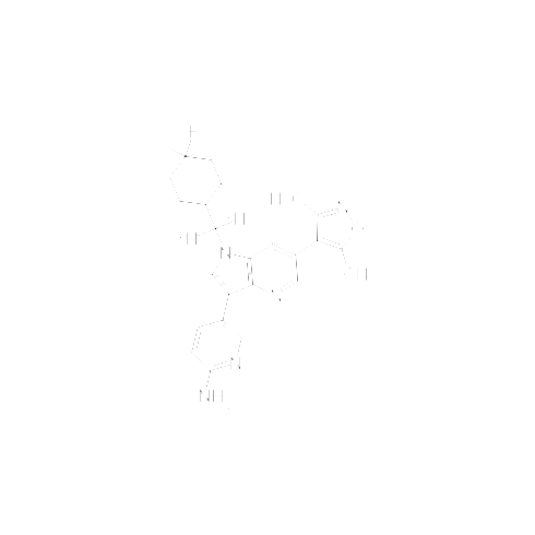 [2H]C([2H])(C1CCC(F)(F)CC1)n1cc(-c2ccc(N)nc2)c2ncc(-c3c(C)noc3C)cc21